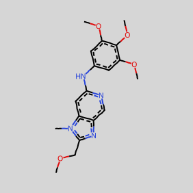 COCc1nc2cnc(Nc3cc(OC)c(OC)c(OC)c3)cc2n1C